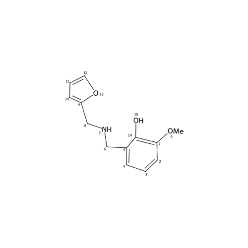 COc1cccc(CNCc2ccco2)c1O